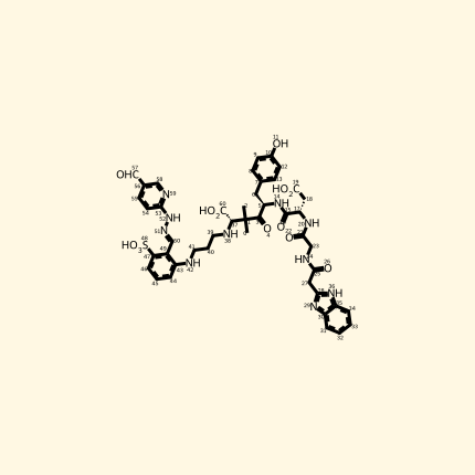 CC(C)(C(=O)[C@@H](Cc1ccc(O)cc1)NC(=O)[C@H](CC(=O)O)NC(=O)CNC(=O)Cc1nc2ccccc2[nH]1)[C@H](NCCCNc1cccc(S(=O)(=O)O)c1C=NNc1ccc(C=O)cn1)C(=O)O